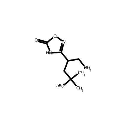 CCCCC(C)(C)CC(CN)c1noc(=O)[nH]1